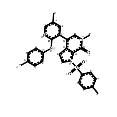 Cc1ccc(S(=O)(=O)n2ccc3c(-c4cc(C)cnc4Nc4ccc(F)cc4)cn(C)c(=O)c32)cc1